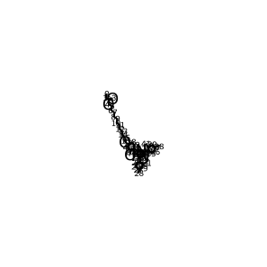 C=CC(=O)OCCCCCCCCCCCOc1ccc(-c2nc(-c3ccc(C)cc3C)nc(-c3ccc(C)cc3C)n2)c(O)c1